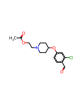 CC(=O)OCCN1CCC(Oc2ccc(C=O)c(Cl)c2)CC1